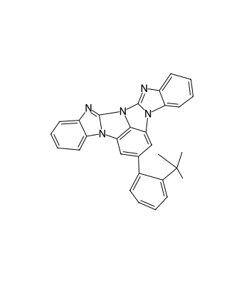 CC(C)(C)c1ccccc1-c1cc2c3c(c1)n1c4ccccc4nc1n3c1nc3ccccc3n21